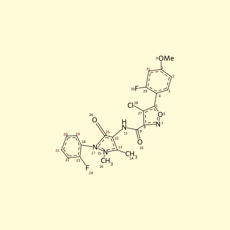 COc1ccc(-c2onc(C(=O)Nc3c(C)n(C)n(-c4ccccc4F)c3=O)c2Cl)c(F)c1